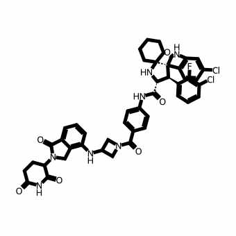 O=C1CCC(N2Cc3c(NC4CN(C(=O)c5ccc(NC(=O)[C@@H]6NC7(CCCCC7)[C@@]7(C(=O)Nc8cc(Cl)ccc87)[C@H]6c6cccc(Cl)c6F)cc5)C4)cccc3C2=O)C(=O)N1